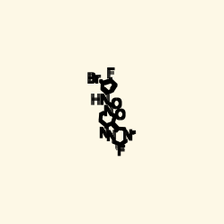 CN1Cc2c3c(nn2C[C@@H](F)C1)CCN(C(=O)Nc1ccc(F)c(Br)c1)C3=O